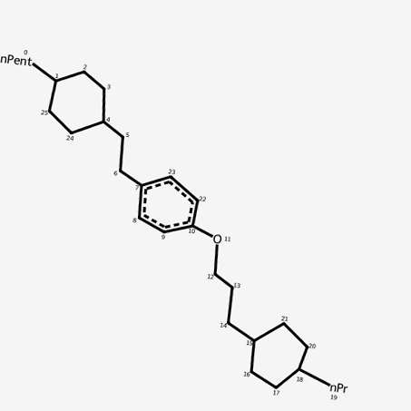 CCCCCC1CCC(CCc2ccc(OCCCC3CCC(CCC)CC3)cc2)CC1